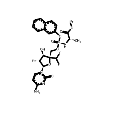 CC(C)OC(=O)[C@H](C)N[P@](=O)(OC[C@@]1(C(F)F)O[C@@H](n2ccc(N)nc2=O)[C@H](F)[C@H]1O)Oc1ccc2ccccc2c1